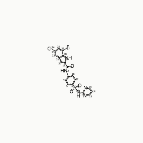 O=C(Nc1ccc(S(=O)(=O)Nc2ncccn2)cc1)c1cc2cc(Cl)cc(F)c2[nH]1